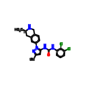 CC(C)(C)c1cc(NC(=O)Nc2cccc(Cl)c2Cl)n(-c2ccc3c(c2)C[C@@H](C(=O)O)NC3)n1